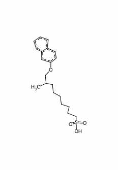 CC(CCCCCCCS(=O)(=O)O)COc1ccc2ccccc2c1